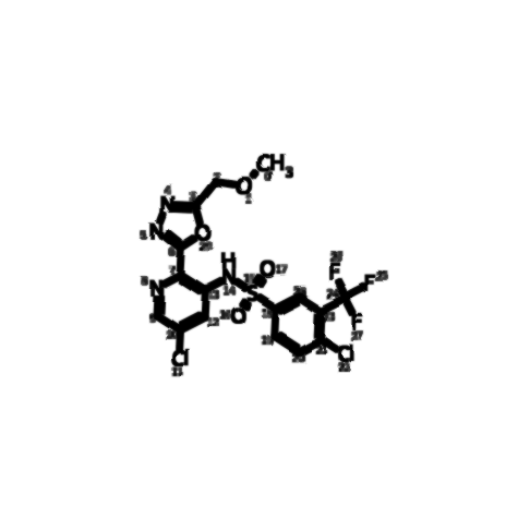 COCc1nnc(-c2ncc(Cl)cc2NS(=O)(=O)c2ccc(Cl)c(C(F)(F)F)c2)o1